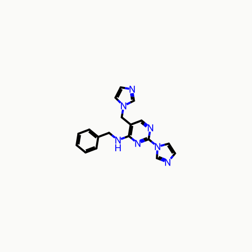 c1ccc(CNc2nc(-n3ccnc3)ncc2Cn2ccnc2)cc1